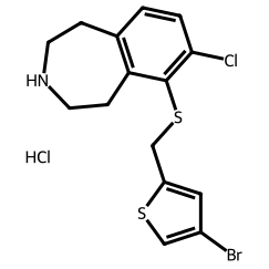 Cl.Clc1ccc2c(c1SCc1cc(Br)cs1)CCNCC2